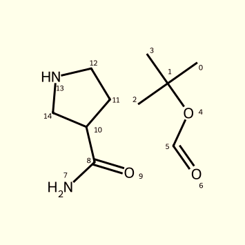 CC(C)(C)OC=O.NC(=O)C1CCNC1